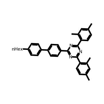 CCCCCCc1ccc(-c2ccc(-c3nc(-c4ccc(C)cc4C)nc(-c4ccc(C)cc4C)n3)cc2)cc1